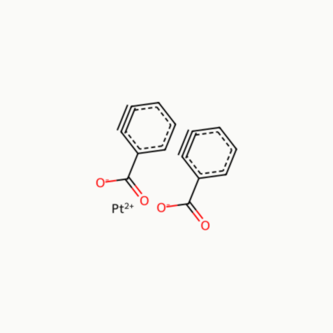 O=C([O-])c1c#cccc1.O=C([O-])c1c#cccc1.[Pt+2]